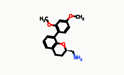 COc1ccc(-c2cccc3c2O[C@H](CN)CC3)c(OC)c1